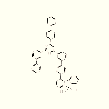 CC1(C)c2ccccc2-c2c(-c3ccc(-c4cccc(-c5cc(-c6ccc(-c7ccccc7)cc6)nc(-c6cccc(-c7ccccc7)c6)n5)c4)cc3)cccc21